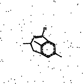 CCC1=NC(C)Cc2cc(C)cc1c2C